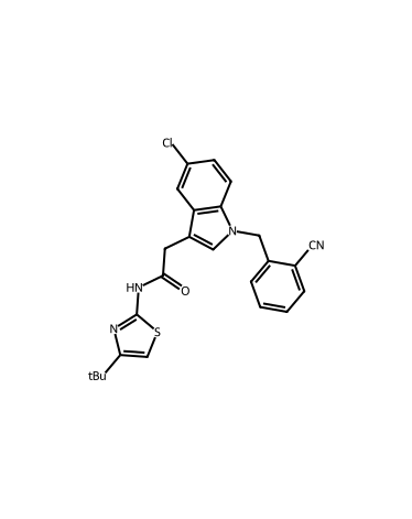 CC(C)(C)c1csc(NC(=O)Cc2cn(Cc3ccccc3C#N)c3ccc(Cl)cc23)n1